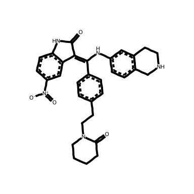 O=C1Nc2ccc([N+](=O)[O-])cc2C1=C(Nc1ccc2c(c1)CCNC2)c1ccc(CCN2CCCCC2=O)cc1